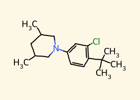 CC1CC(C)CN(c2ccc(C(C)(C)C)c(Cl)c2)C1